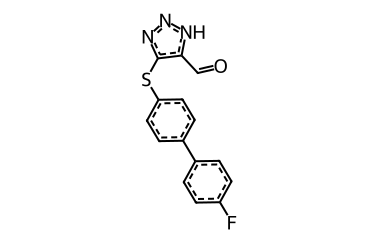 O=Cc1[nH]nnc1Sc1ccc(-c2ccc(F)cc2)cc1